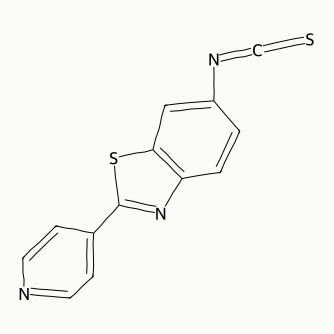 S=C=Nc1ccc2nc(-c3ccncc3)sc2c1